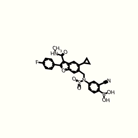 CNC(=O)c1c(-c2ccc(F)cc2)oc2cc(CN(c3ccc(B(O)O)c(C#N)c3)[SH](=O)=O)c(C3CC3)cc12